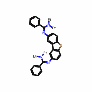 CCN(CC)C(=Nc1ccc2sc3ccc(N=C(c4ccccc4)N(CC)CC)cc3c2c1)c1ccccc1